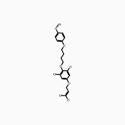 CC(C)Oc1ccc(OCCCCOc2c(Cl)cc(OCC=C(Cl)Cl)cc2Cl)cc1